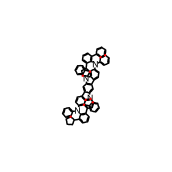 c1ccc(-c2cccc(C3CCCC3)c2N(c2ccccc2)c2ccc3c4cc5c(cc4n4c6ccccc6c2c34)c2ccc(N(c3ccccc3)c3c(-c4ccccc4)cccc3C3CCCC3)c3c4ccccc4n5c23)cc1